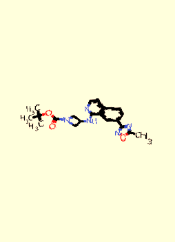 Cc1nc(-c2ccc3ccnc(NC4CN(C(=O)OC(C)(C)C)C4)c3c2)no1